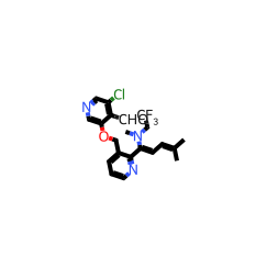 CC(C)=C/C=C(/c1ncccc1COc1cncc(Cl)c1C=O)N(C)CC(F)(F)F